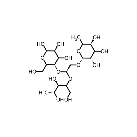 CC1O[C@@H](OC[C@@H](OC(CO)[C@H](O)[C@@H](C)O)O[C@@H]2C(CO)OC(O)[C@@H](O)C2O)[C@@H](O)C(O)[C@@H]1O